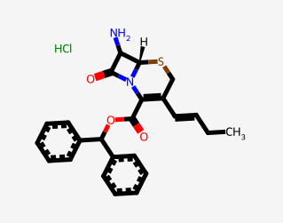 CC/C=C/C1=C(C(=O)OC(c2ccccc2)c2ccccc2)N2C(=O)C(N)[C@@H]2SC1.Cl